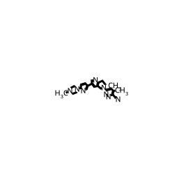 Cc1c(C#N)nnc(N2CCc3ncc(-c4ccc(N5CCN(C)CC5)nc4)cc3C2)c1C